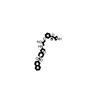 O=S(=O)(c1cccc(OCC(O)CNC2COC3(CCN(S(=O)(=O)c4ccc5ccccc5c4)CC3)C2)c1)C1CNC1